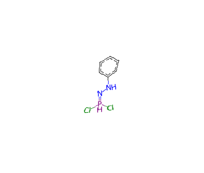 Cl[PH](Cl)=NNc1ccccc1